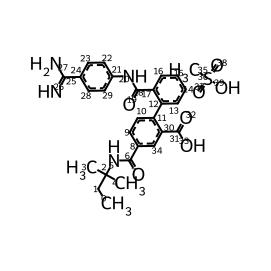 CCC(C)(C)NC(=O)c1ccc(-c2ccccc2C(=O)Nc2ccc(C(=N)N)cc2)c(C(=O)O)c1.CS(=O)(=O)O